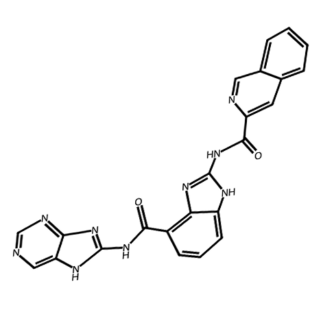 O=C(Nc1nc2c(C(=O)Nc3nc4ncncc4[nH]3)cccc2[nH]1)c1cc2ccccc2cn1